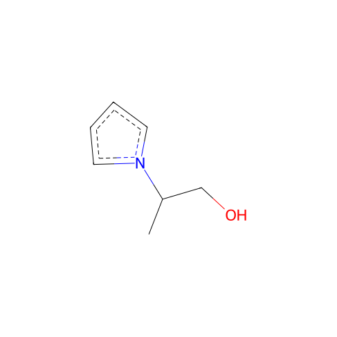 CC(CO)n1cccc1